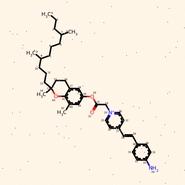 CCCC(C)CCCC(C)CCCC1(C)CCc2cc(OC(=O)C[n+]3ccc(/C=C/c4ccc(N)cc4)cc3)cc(C)c2O1